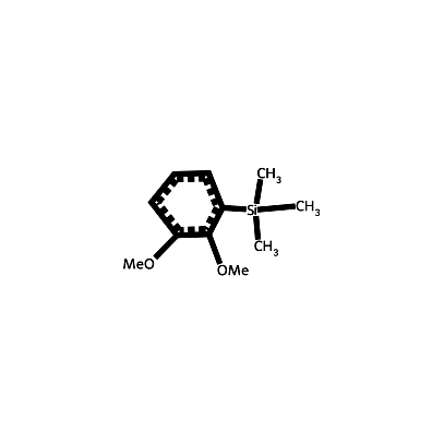 COc1cccc([Si](C)(C)C)c1OC